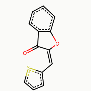 O=C1C(=Cc2cccs2)Oc2ccccc21